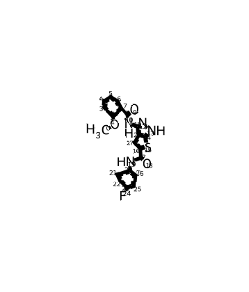 COc1ccccc1C(=O)Nc1n[nH]c2sc(C(=O)Nc3ccc(F)cc3)cc12